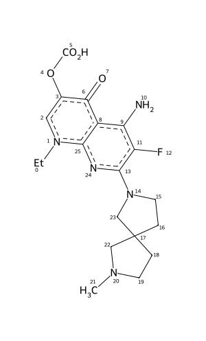 CCn1cc(OC(=O)O)c(=O)c2c(N)c(F)c(N3CCC4(CCN(C)C4)C3)nc21